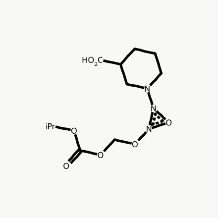 CC(C)OC(=O)OCOn1on1N1CCCC(C(=O)O)C1